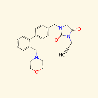 C#CCN1C(=O)CN(Cc2ccc(-c3ccccc3CN3CCOCC3)cc2)C1=O